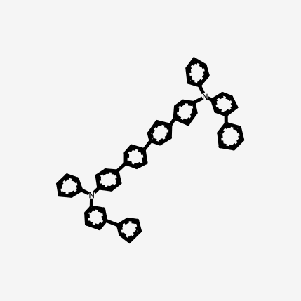 c1ccc(-c2cccc(N(c3ccccc3)c3ccc(-c4ccc(-c5ccc(-c6ccc(N(c7ccccc7)c7cccc(-c8ccccc8)c7)cc6)cc5)cc4)cc3)c2)cc1